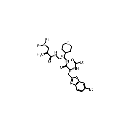 C=C(CN(CC)CC)C(=O)NC[C@@H](NC(=O)[C@H](Cc1nc2ccc(CC)cc2s1)NC(=O)CC)C1CCOCC1